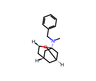 CN(Cc1ccccc1)[C@]12C[C@@H]3C[C@@H](C[C@H](C3)O1)C2